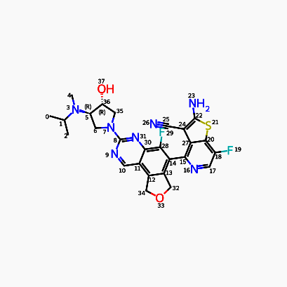 CC(C)N(C)[C@@H]1CN(c2ncc3c4c(c(-c5ncc(F)c6sc(N)c(C#N)c56)c(F)c3n2)COC4)C[C@H]1O